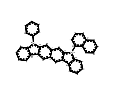 c1ccc(-n2c3ccccc3c3cc4cc5c6ccccc6n(-c6cccc7ccccc67)c5cc4cc32)cc1